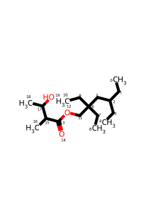 CCC(CC)CC(CC)(CC)COC(=O)C(C)C(C)O